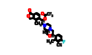 Cc1c([C@H]2CN3CCN(C[C@@H](OC(=O)C(F)(F)F)c4ccc5c(c4C)COC5=O)C[C@H]3CO2)ccc(F)c1C#N